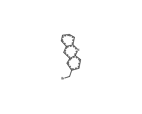 BrCc1ccc2nc3ccccc3cc2c1